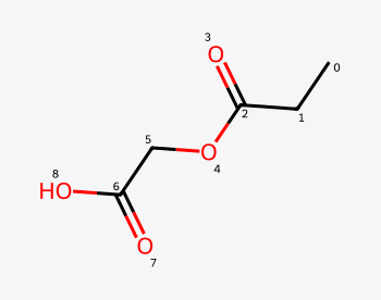 CCC(=O)OCC(=O)O